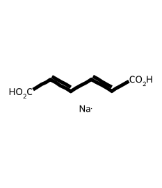 O=C(O)/C=C/C=C/C(=O)O.[Na]